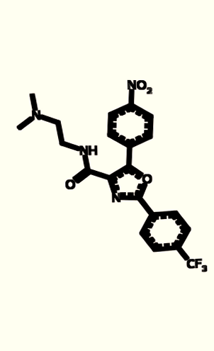 CN(C)CCNC(=O)c1nc(-c2ccc(C(F)(F)F)cc2)oc1-c1ccc([N+](=O)[O-])cc1